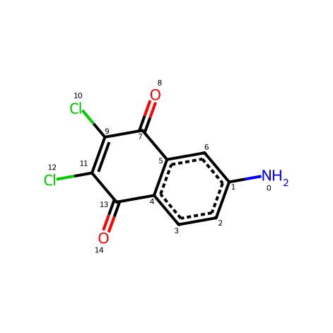 Nc1ccc2c(c1)C(=O)C(Cl)=C(Cl)C2=O